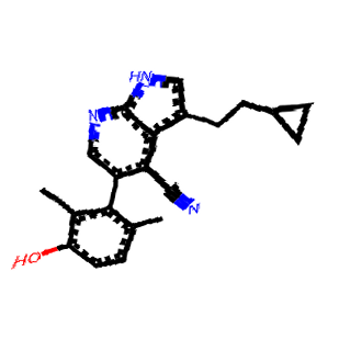 Cc1ccc(O)c(C)c1-c1cnc2[nH]cc(CCC3CC3)c2c1C#N